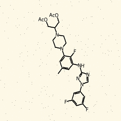 CC(=O)OCC(COC(C)=O)N1CCN(c2cc(C)cc(Nc3ncn(-c4cc(F)cc(F)c4)n3)c2F)CC1